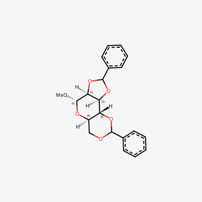 CO[C@H]1O[C@@H]2COC(c3ccccc3)O[C@H]2[C@@H]2OC(c3ccccc3)O[C@H]12